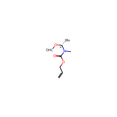 C=CCOC(=O)N(C)[C@H](OC=O)C(C)(C)C